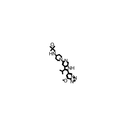 COc1cc(-c2[nH]c3cnc(N4CCC(NCC5(C)COC5)CC4)cc3c2C(C)C)cn2ncnc12